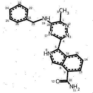 Cc1nnc(-c2[nH]cc3c(C(N)=O)cccc23)nc1NCc1ccccc1